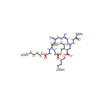 CCCCCCCCCCCCCCOC(=O)CCN(CCC(=O)OC)CCN(C)CCN(CC)CCN(CCC(=O)OCCCCCCCCCCCCCC)CCC(=O)OCCCCCCCCCCCCCC